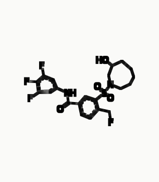 O=C(Nc1cc(F)c(F)c(F)c1)c1ccc(CF)c(S(=O)(=O)N2CCCCCC(O)C2)c1